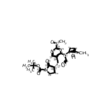 C[C@@H]1C2CC1(N(C=O)c1nc([S+](C)[O-])ncc1C[C@@H]1CCN(C(=O)OC(C)(C)C)C1=O)C2